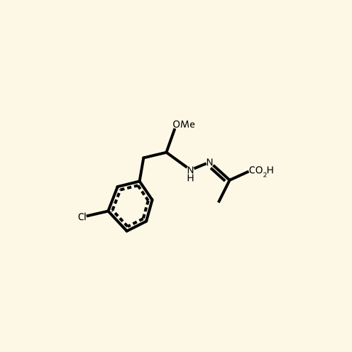 COC(Cc1cccc(Cl)c1)NN=C(C)C(=O)O